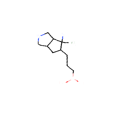 Cl.NC1(C(=O)O)C(CCCB(O)O)CC2CNCC21